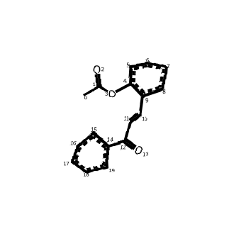 CC(=O)Oc1ccccc1/C=C/C(=O)c1ccccc1